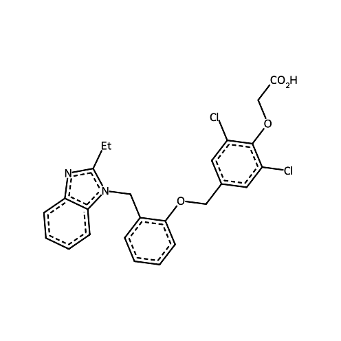 CCc1nc2ccccc2n1Cc1ccccc1OCc1cc(Cl)c(OCC(=O)O)c(Cl)c1